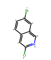 Clc1cc2ccc(Br)cc2cn1